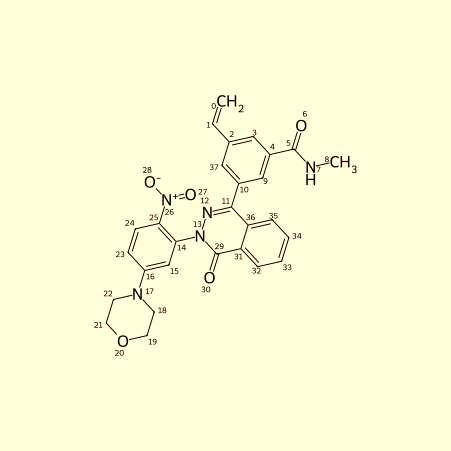 C=Cc1cc(C(=O)NC)cc(-c2nn(-c3cc(N4CCOCC4)ccc3[N+](=O)[O-])c(=O)c3ccccc23)c1